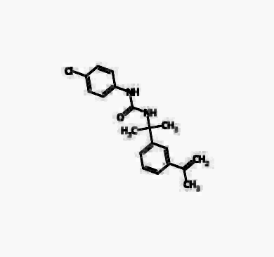 C=C(C)c1cccc(C(C)(C)NC(=O)Nc2ccc(Cl)cc2)c1